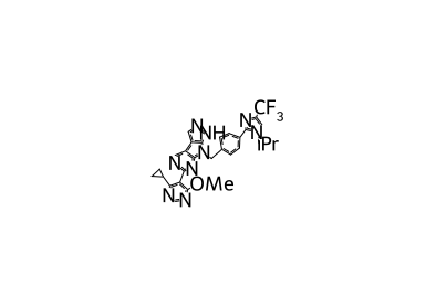 COc1ncnc(C2CC2)c1-c1ncc2c3cn[nH]c3n(Cc3ccc(-c4nc(C(F)(F)F)cn4C(C)C)cc3)c2n1